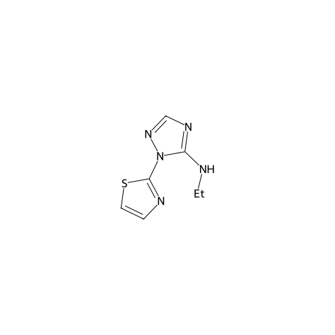 CCNc1ncnn1-c1nccs1